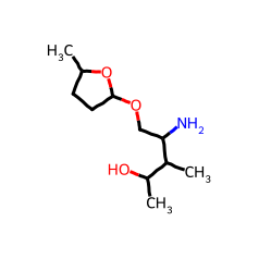 CC1CCC(OCC(N)C(C)C(C)O)O1